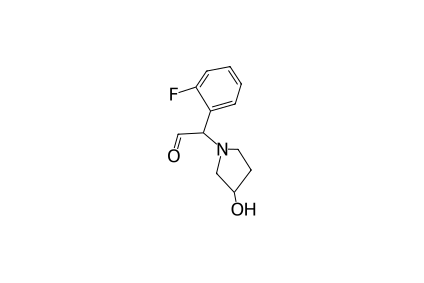 O=CC(c1ccccc1F)N1CCC(O)C1